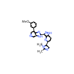 COc1cccc(-c2cncc3[nH]c(-c4n[nH]c5ccc(-c6cnc(C)n6C)nc45)nc23)c1